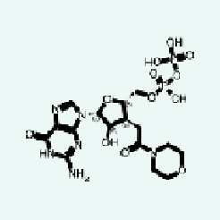 Nc1nc2c(ncn2[C@@H]2O[C@H](COP(=O)(O)OP(=O)(O)O)[C@@H](CC(=O)N3CCOCC3)[C@H]2O)c(=O)[nH]1